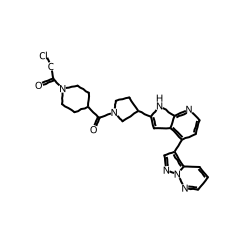 O=C(CCl)N1CCC(C(=O)N2CCC(c3cc4c(-c5cnn6ncccc56)ccnc4[nH]3)C2)CC1